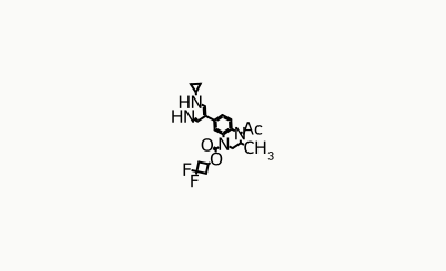 CC(=O)N1c2ccc(/C(C=N)=C/NC3CC3)cc2N(C(=O)OC2CC(F)(F)C2)CC1C